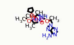 CC(C)OC(=O)[C@@H](C)CNP(=O)(CO[C@H](C)Cn1cnc2c(N)ncnc21)N[C@@H](C)C(=O)OC1CCCC1